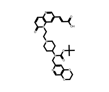 CC(C)(C)OC(=O)N(Cc1cc2c(cn1)OCCO2)C1CCN(CCn2c(=O)ccc3ncc(C=CC(=O)O)cc32)CC1